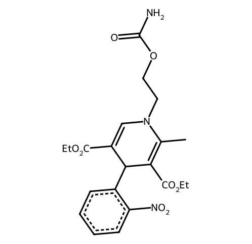 CCOC(=O)C1=CN(CCOC(N)=O)C(C)=C(C(=O)OCC)C1c1ccccc1[N+](=O)[O-]